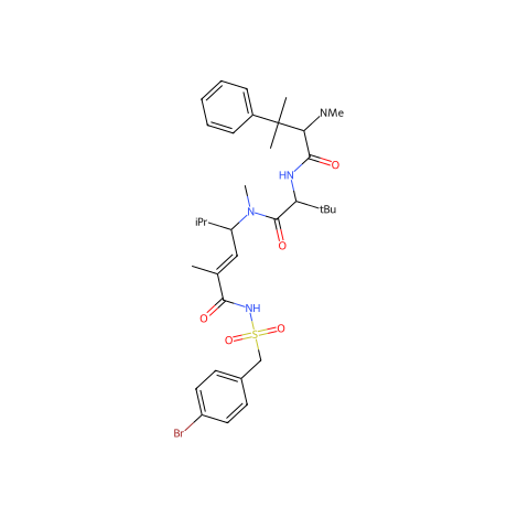 CNC(C(=O)NC(C(=O)N(C)C(C=C(C)C(=O)NS(=O)(=O)Cc1ccc(Br)cc1)C(C)C)C(C)(C)C)C(C)(C)c1ccccc1